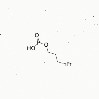 CCCCCCO[P](=O)O